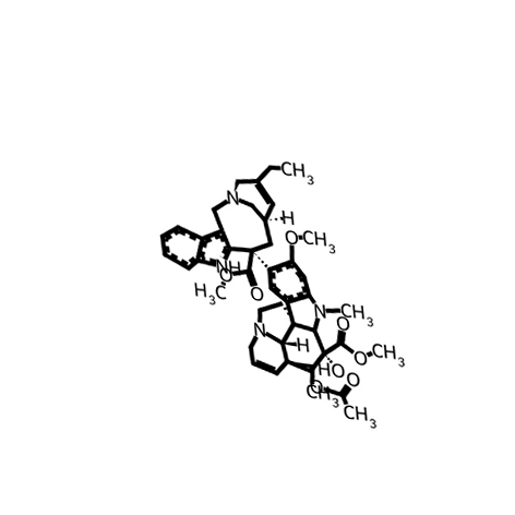 CCC1=C[C@@H]2C[N@](C1)Cc1c([nH]c3ccccc13)[C@@](C(=O)OC)(c1cc3c(cc1OC)N(C)C1[C@]34CCN3CC=C[C@@](CC)([C@@H](OC(C)=O)[C@]1(O)C(=O)OC)[C@H]34)C2